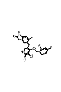 Cc1cc2c(cc1Cc1c[nH]c(=O)c(Cl)c1OCc1ccc(F)cc1F)CC(=O)N2